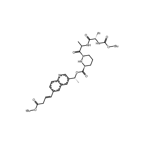 CC(NC(=O)[C@@H](NC(=O)OC(C)(C)C)C(C)C)C(=O)N1CCC[C@@H](C(=O)O[C@H](C)c2cnc3ccc(/C=C/CC(=O)OC(C)(C)C)cc3c2)N1